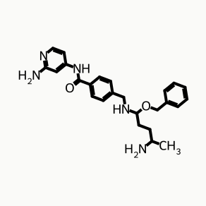 CC(N)CCC(NCc1ccc(C(=O)Nc2ccnc(N)c2)cc1)OCc1ccccc1